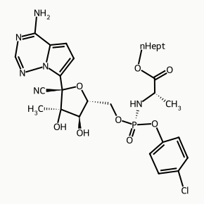 CCCCCCCOC(=O)[C@H](C)N[P@](=O)(OC[C@H]1O[C@@](C#N)(c2ccc3c(N)ncnn23)[C@](C)(O)[C@@H]1O)Oc1ccc(Cl)cc1